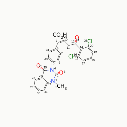 Cn1c(=O)n(-c2ccc(/C=C(\CC(=O)c3c(Cl)cccc3Cl)C(=O)O)cc2)c(=O)c2ccccc21